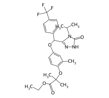 CCOC(=O)C(C)(C)Oc1ccc(OC(c2ccc(C(F)(F)F)cc2)c2n[nH]c(=O)n2C(C)C)cc1C